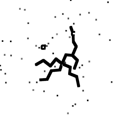 CCCCC(CC)C[P+](CCCC)(CCCC)CCCC.[Cl-]